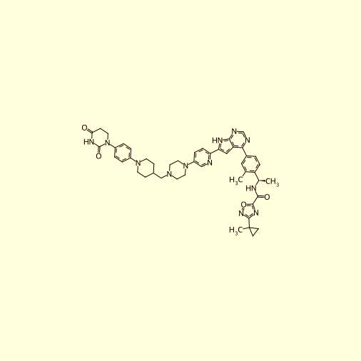 Cc1cc(-c2ncnc3[nH]c(-c4ccc(N5CCN(CC6CCN(c7ccc(N8CCC(=O)NC8=O)cc7)CC6)CC5)cn4)cc23)ccc1[C@@H](C)NC(=O)c1nc(C2(C)CC2)no1